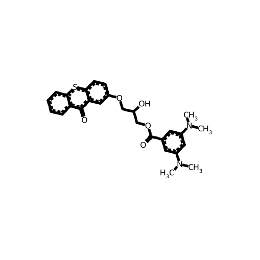 CN(C)c1cc(C(=O)OCC(O)COc2ccc3sc4ccccc4c(=O)c3c2)cc(N(C)C)c1